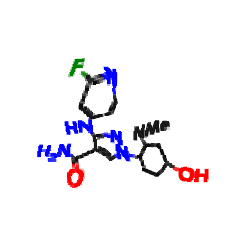 CNC1CC(O)CCC1n1cc(C(N)=O)c(Nc2ccnc(F)c2)n1